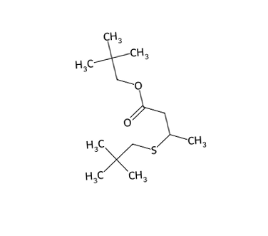 CC(CC(=O)OCC(C)(C)C)SCC(C)(C)C